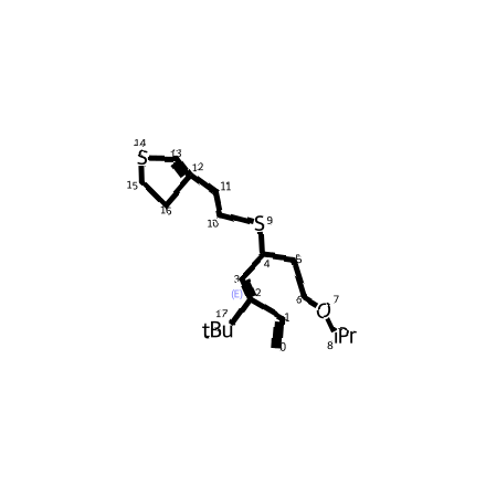 C=C/C(=C\C(CCOC(C)C)SCCC1=CSCC1)C(C)(C)C